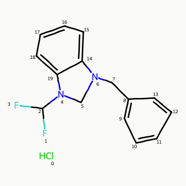 Cl.FC(F)N1CN(Cc2ccccc2)c2ccccc21